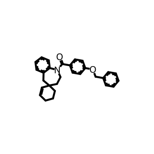 O=C(c1ccc(OCc2ccccc2)cc1)N1CCC2(C=CCCC2)Cc2ccccc21